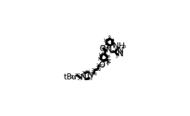 Cn1ncc2c1Nc1ccccc1N(C(=O)c1ccc(OCCCCN3CCN(CCC(C)(C)C)CC3)c(F)c1)C2